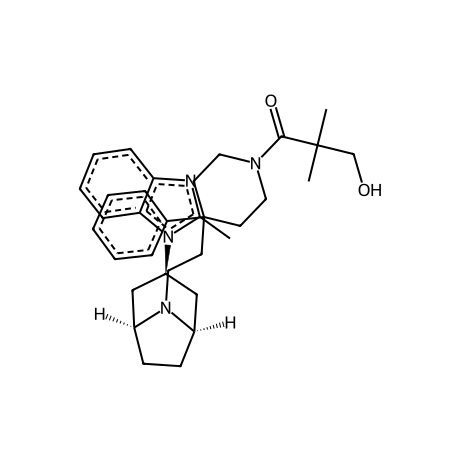 Cc1nc2ccccc2n1[C@H]1C[C@H]2CC[C@@H](C1)N2CCC1(c2ccccc2)CCN(C(=O)C(C)(C)CO)CC1